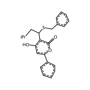 CC(C)CC(SCc1ccccc1)c1c(O)cc(-c2ccccc2)oc1=O